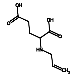 C=CCNC(CCC(=O)O)C(=O)O